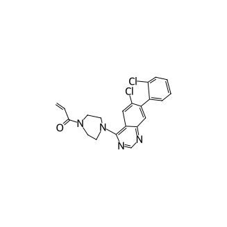 C=CC(=O)N1CCN(c2ncnc3cc(-c4ccccc4Cl)c(Cl)cc23)CC1